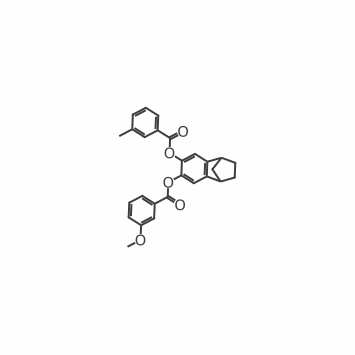 COc1cccc(C(=O)Oc2cc3c(cc2OC(=O)c2cccc(C)c2)C2CCC3C2)c1